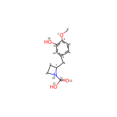 COc1ccc(CC2CCN2C(=O)O)cc1O